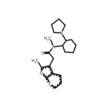 Cc1oc2ccccc2c1CC(=O)N(C)C1CCCCC1N1CCCC1